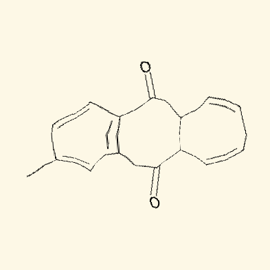 Cc1ccc2c(c1)C(=O)C1C=CC=CC1C2=O